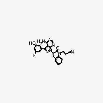 N#CCCN1C(=O)C(n2nc(-c3cc(O)cc(F)c3)c3c(N)ncnc32)Cc2ccccc21